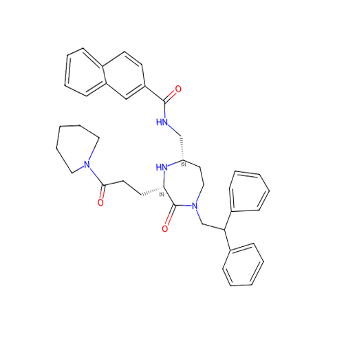 O=C(NC[C@@H]1CCN(CC(c2ccccc2)c2ccccc2)C(=O)[C@H](CCC(=O)N2CCCCC2)N1)c1ccc2ccccc2c1